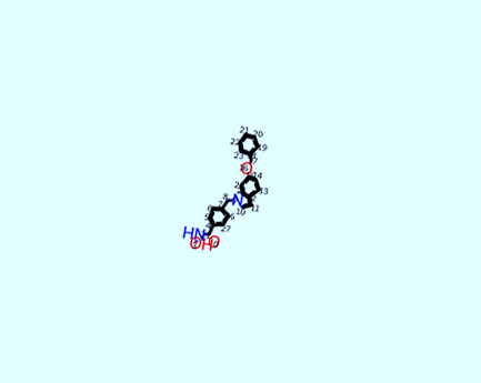 O=C(NO)c1ccc(Cn2ccc3ccc(OCc4ccccc4)cc32)cc1